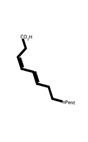 CCCCCCC/C=C/C=C\CC(=O)O